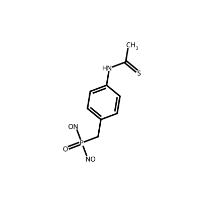 CC(=S)Nc1ccc(CP(=O)(N=O)N=O)cc1